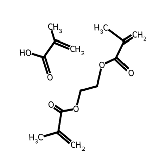 C=C(C)C(=O)O.C=C(C)C(=O)OCCOC(=O)C(=C)C